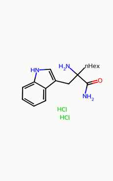 CCCCCCC(N)(Cc1c[nH]c2ccccc12)C(N)=O.Cl.Cl